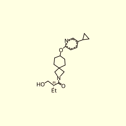 CC[C@H](CO)C(=O)N1CC2(CCC(Oc3ccc(C4CC4)cn3)CC2)C1